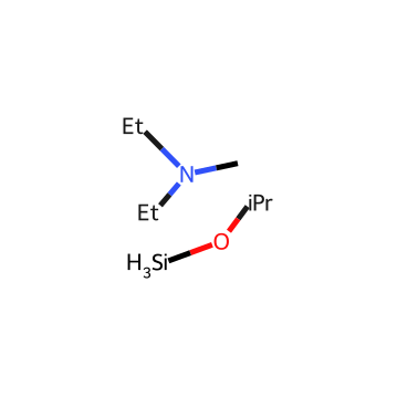 CC(C)O[SiH3].CCN(C)CC